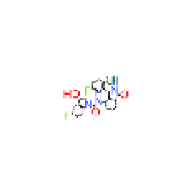 O=C1N[C@H](c2cc(F)ccc2Cl)c2c(NC(=O)N3C[C@H](O)c4cc(F)ccc43)cccc21